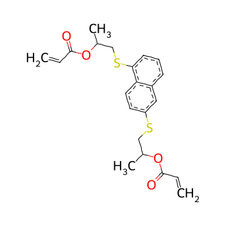 C=CC(=O)OC(C)CSc1ccc2c(SCC(C)OC(=O)C=C)cccc2c1